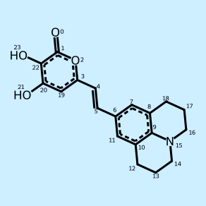 O=c1oc(/C=C/c2cc3c4c(c2)CCCN4CCC3)cc(O)c1O